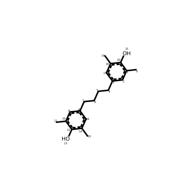 Cc1cc(CCCCc2cc(C)c(O)c(C)c2)cc(C)c1O